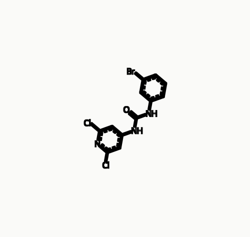 O=C(Nc1cccc(Br)c1)Nc1cc(Cl)nc(Cl)c1